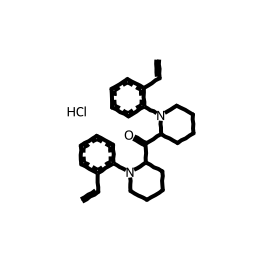 C=Cc1ccccc1N1CCCCC1C(=O)C1CCCCN1c1ccccc1C=C.Cl